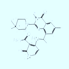 Cc1cc(C(C)Nc2ccn(C)c(=O)c2C(=O)O)c2nc(N3CCC(C)(C)CC3)n(C)c(=O)c2c1